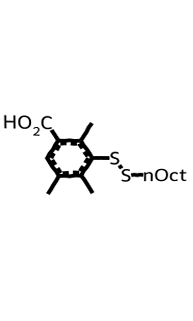 CCCCCCCCSSc1c(C)c(C)cc(C(=O)O)c1C